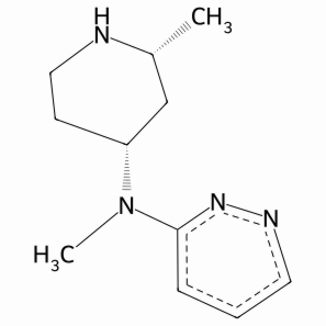 C[C@@H]1C[C@H](N(C)c2cccnn2)CCN1